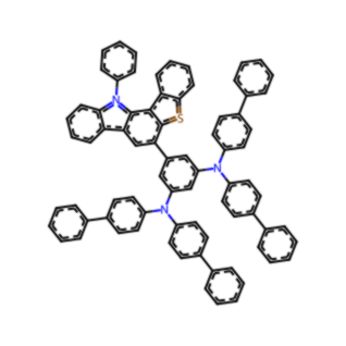 c1ccc(-c2ccc(N(c3ccc(-c4ccccc4)cc3)c3cc(-c4cc5c6ccccc6n(-c6ccccc6)c5c5c4sc4ccccc45)cc(N(c4ccc(-c5ccccc5)cc4)c4ccc(-c5ccccc5)cc4)c3)cc2)cc1